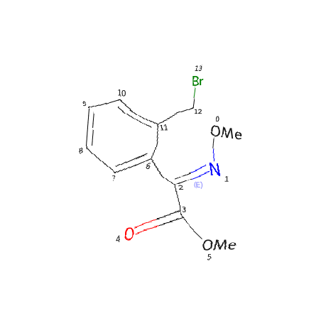 CO/N=C(/C(=O)OC)c1ccccc1CBr